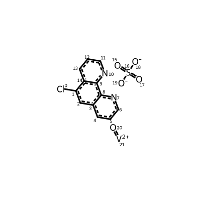 Clc1cc2cccnc2c2ncccc12.O=S(=O)([O-])[O-].[O]=[V+2]